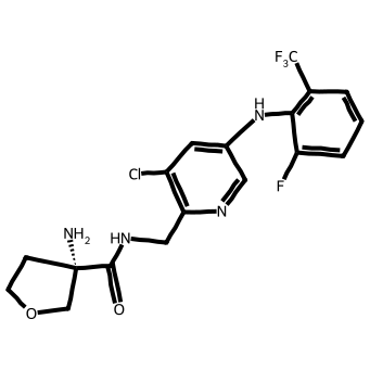 N[C@@]1(C(=O)NCc2ncc(Nc3c(F)cccc3C(F)(F)F)cc2Cl)CCOC1